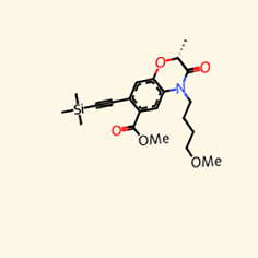 COCCCCN1C(=O)[C@@H](C)Oc2cc(C#C[Si](C)(C)C)c(C(=O)OC)cc21